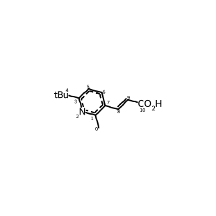 Cc1nc(C(C)(C)C)ccc1C=CC(=O)O